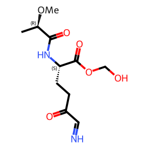 CO[C@H](C)C(=O)N[C@@H](CCC(=O)C=N)C(=O)OCO